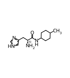 CC1CCC(NC(=O)[C@@H](N)Cc2c[nH]cn2)CC1